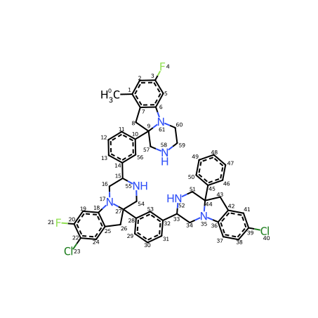 Cc1cc(F)cc2c1CC1(c3cccc(C4CN5c6cc(F)c(Cl)cc6CC5(c5cccc(C6CN7c8ccc(Cl)cc8CC7(c7ccccc7)CN6)c5)CN4)c3)CNCCN21